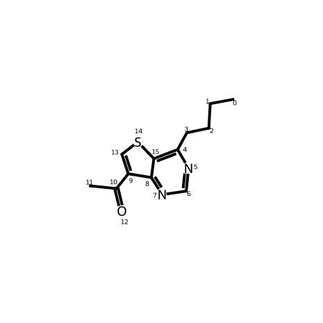 CCCCc1ncnc2c(C(C)=O)csc12